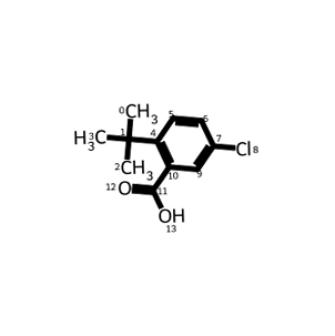 CC(C)(C)c1ccc(Cl)cc1C(=O)O